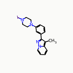 Cc1c(-c2cccc(N3CCN(I)CC3)c2)nn2ccccc12